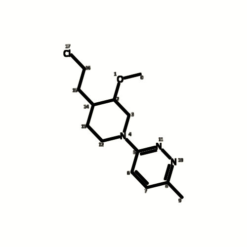 COC1CN(c2ccc(C)nn2)CCC1CCCl